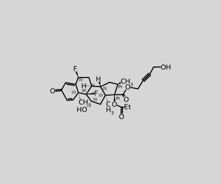 CCC(=O)O[C@]1(C(=O)OCC#CCO)[C@H](C)C[C@H]2[C@@H]3C[C@H](F)C4=CC(=O)C=C[C@]4(C)[C@@]3(F)[C@@H](O)C[C@@]21C